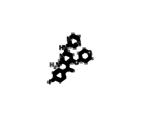 CC(c1ccc(F)cc1)c1c(OC2CCOCC2)cc(Nc2cnccn2)nc1N